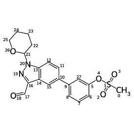 CS(=O)(=O)Oc1cccc(-c2ccc3c(c2)c(C=O)nn3C2CCCCO2)c1